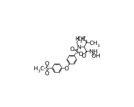 CCN(C(C(=O)NO)C(C)C)S(=O)(=O)c1ccc(Oc2ccc(S(C)(=O)=O)cc2)cc1